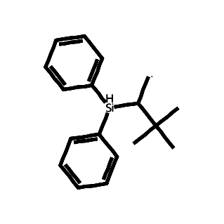 [CH2]C([SiH](c1ccccc1)c1ccccc1)C(C)(C)C